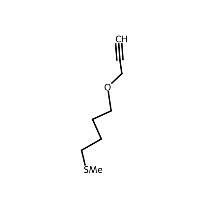 C#CCOCCCCSC